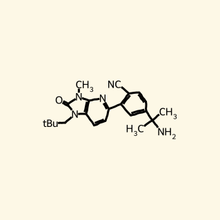 Cn1c(=O)n(CC(C)(C)C)c2ccc(-c3cc(C(C)(C)N)ccc3C#N)nc21